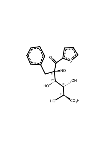 O=N[C@@](Cc1ccccc1)(C(=O)c1cccs1)[C@@H](O)[C@H](O)[C@H](O)C(=O)O